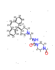 O=CN1CCN(C(=O)NCCN2CCC(=C3c4ccccc4C=Cc4ccccc43)CC2)CC1